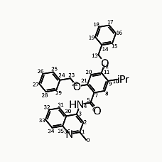 Cc1cc(NC(=O)c2cc(C(C)C)c(OCc3ccccc3)cc2OCc2ccccc2)c2ccccc2n1